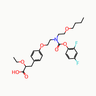 CCCCOCCN(CCOc1ccc(CC(OCC)C(=O)O)cc1)C(=O)Oc1ccc(F)cc1F